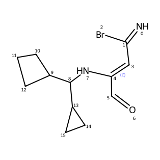 N=C(Br)/C=C(/C=O)NC(C1CCC1)C1CC1